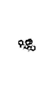 Cc1ccccc1N1[C@@H](C)c2sc3cccnc3c2C12C1CC3CC(C1)CC2C3